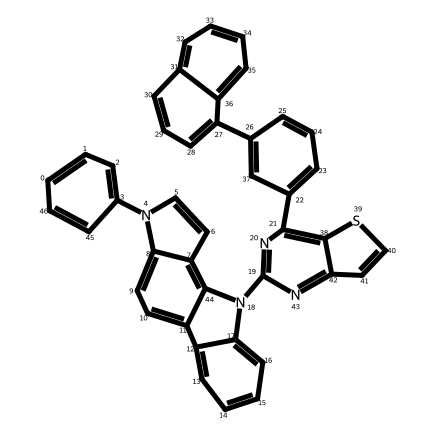 c1ccc(-n2ccc3c2ccc2c4ccccc4n(-c4nc(-c5cccc(-c6cccc7ccccc67)c5)c5sccc5n4)c23)cc1